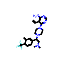 C=Cc1c(N)ncnc1N1CCN(C(CN(C)C)C2=CC(C)C(C(F)(F)F)C=C2)CC1